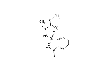 CCC(NS(=O)(=O)c1ccccc1[N+](=O)[O-])C(=O)OC